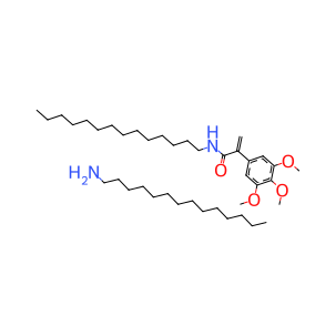 C=C(C(=O)NCCCCCCCCCCCCCC)c1cc(OC)c(OC)c(OC)c1.CCCCCCCCCCCCCCN